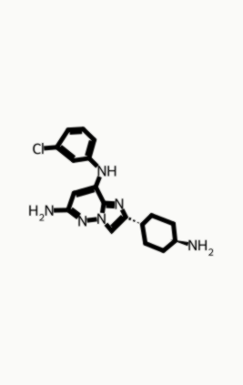 Nc1cc(Nc2cccc(Cl)c2)c2nc([C@H]3CC[C@H](N)CC3)cn2n1